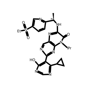 CCS(=O)(=O)c1ccc([C@@H](C)Nc2nc3cnc(-c4c(O)ncnc4C4CC4)nc3n(C(C)C)c2=O)nc1